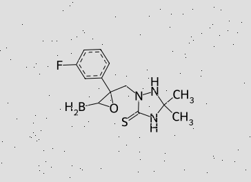 BC1OC1(CN1NC(C)(C)NC1=S)c1cccc(F)c1